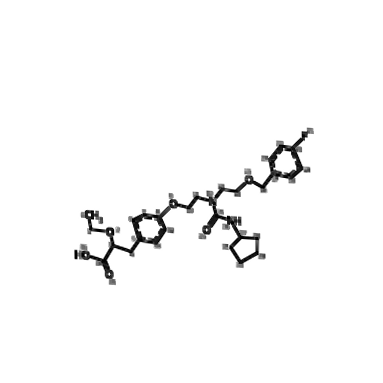 CCOC(Cc1ccc(OCCN(CCOCc2ccc(F)cc2)C(=O)NC2CCCC2)cc1)C(=O)O